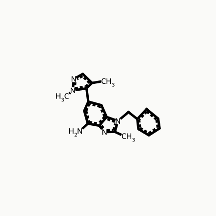 Cc1cnn(C)c1-c1cc(N)c2nc(C)n(Cc3ccccc3)c2c1